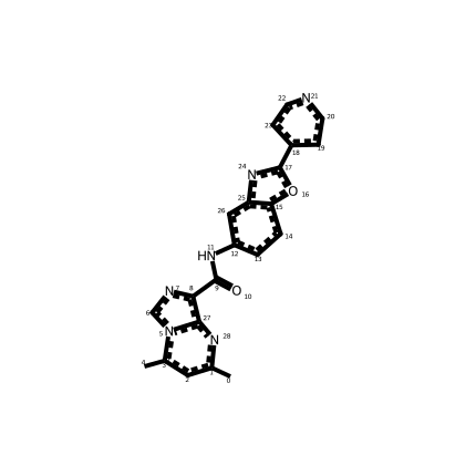 Cc1cc(C)n2cnc(C(=O)Nc3ccc4oc(-c5ccncc5)nc4c3)c2n1